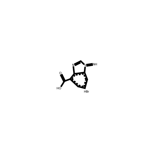 Br.N=S1C=Nc2c(C(=O)O)cccc21